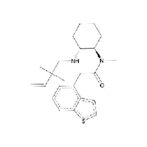 C=CC(C)(C)CN[C@@H]1CCCC[C@H]1N(C)C(=O)Cc1cccc2sccc12